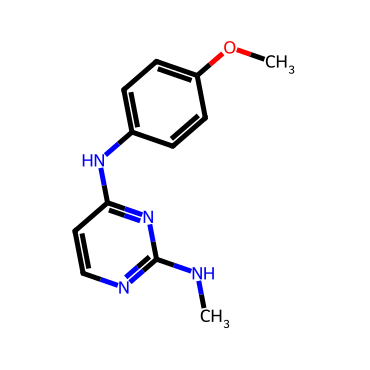 CNc1nccc(Nc2ccc(OC)cc2)n1